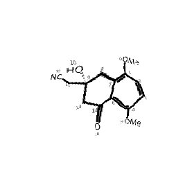 COc1ccc(OC)c2c1C[C@](O)(CC#N)CC2=O